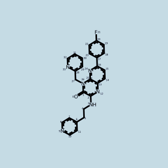 O=c1c(NCCc2ccncc2)nc2ccc(-c3ccc(F)cc3)nc2n1Cc1ccccn1